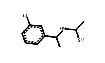 CC(S)NC(C)c1cccc(Cl)c1